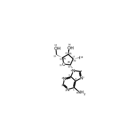 Nc1ncnc2c1ncn2[C@@H]1O[C@H](CO)[C@@H](O)[C@@H]1I